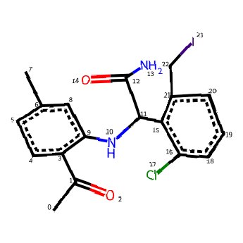 CC(=O)c1ccc(C)cc1NC(C(N)=O)c1c(Cl)cccc1CI